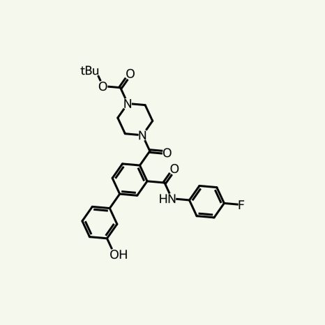 CC(C)(C)OC(=O)N1CCN(C(=O)c2ccc(-c3cccc(O)c3)cc2C(=O)Nc2ccc(F)cc2)CC1